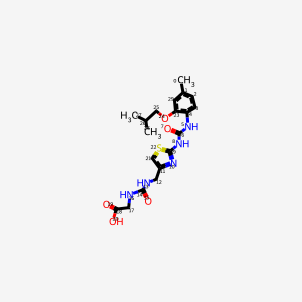 Cc1ccc(NC(=O)Nc2nc(CNC(=O)NCC(=O)O)cs2)c(OCC(C)C)c1